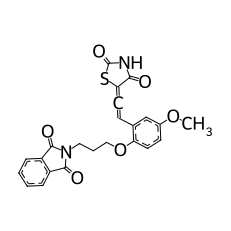 COc1ccc(OCCCN2C(=O)c3ccccc3C2=O)c(C=C=C2SC(=O)NC2=O)c1